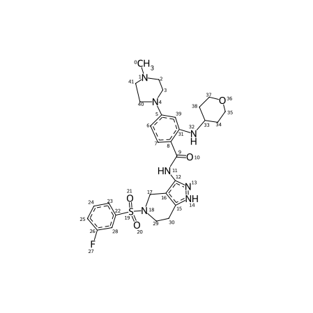 CN1CCN(c2ccc(C(=O)Nc3n[nH]c4c3CN(S(=O)(=O)c3cccc(F)c3)CC4)c(NC3CCOCC3)c2)CC1